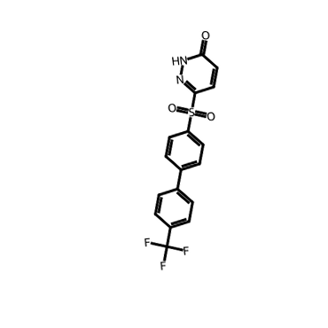 O=c1ccc(S(=O)(=O)c2ccc(-c3ccc(C(F)(F)F)cc3)cc2)n[nH]1